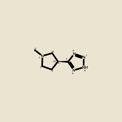 CN1CC[C@H](c2nn[nH]n2)C1